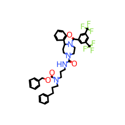 O=C(NCCCN(CCCc1ccccc1)C(=O)OCc1ccccc1)N1CCC(c2ccccc2)N(C(=O)c2cc(C(F)(F)F)cc(C(F)(F)F)c2)CC1